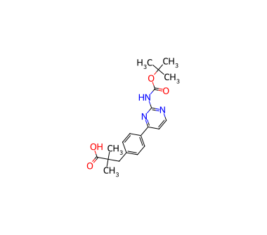 CC(C)(C)OC(=O)Nc1nccc(-c2ccc(CC(C)(C)C(=O)O)cc2)n1